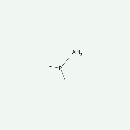 CP(C)C.[AlH3]